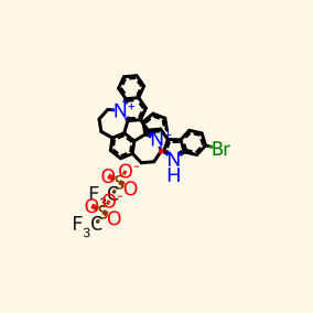 Brc1ccc2c(/C=C/c3cc4ccccc4[n+]4c3-c3c(ccc5c3-c3cccc[n+]3CCC5)CCC4)c[nH]c2c1.O=S(=O)([O-])C(F)(F)F.O=S(=O)([O-])C(F)(F)F